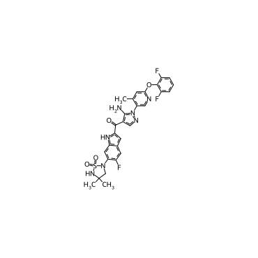 Cc1cc(Oc2c(F)cccc2F)ncc1-n1ncc(C(=O)c2cc3cc(F)c(N4CC(C)(C)NS4(=O)=O)cc3[nH]2)c1N